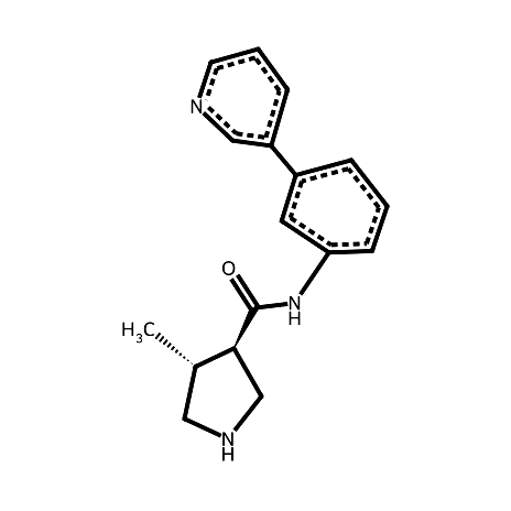 C[C@H]1CNC[C@@H]1C(=O)Nc1cccc(-c2cccnc2)c1